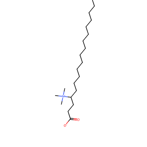 CCCCCCCCCCCCCCC(CCC(=O)[O-])[N+](C)(C)C